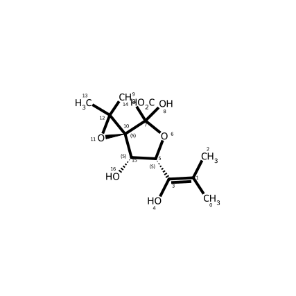 CC(C)=C(O)[C@H]1OC(O)(C(=O)O)[C@]2(OC2(C)C)[C@H]1O